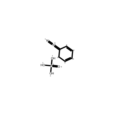 O=P(O)(O)O.[N-]=[N+]=C1C=CC=CC1